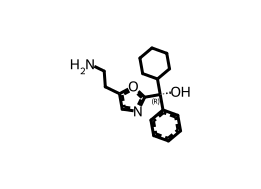 NCCc1cnc([C@](O)(c2ccccc2)C2CCCCC2)o1